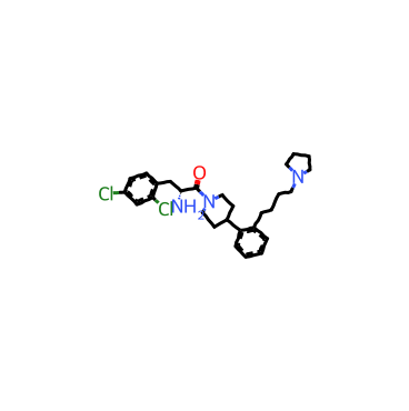 N[C@H](Cc1ccc(Cl)cc1Cl)C(=O)N1CCC(c2ccccc2CCCCN2CCCC2)CC1